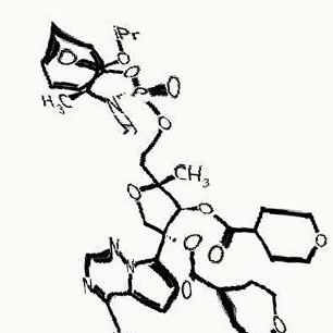 CC(C)OC(=O)[C@H](C)N[P@](=O)(OC[C@@]1(C)OC[C@](OC(=O)C2CCOCC2)(c2ccc3c(N)ncnn23)[C@@H]1OC(=O)C1CCOCC1)Oc1ccccc1